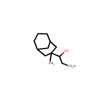 CC1(C(O)CC(=O)O)CC2CCCC(C2)C1